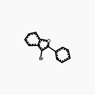 Brc1c(-c2ccccc2)oc2ccccc12